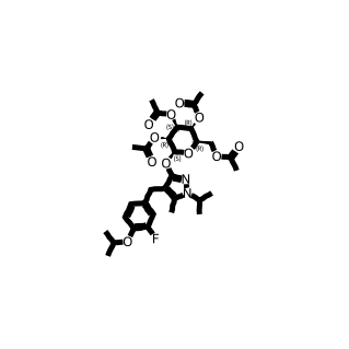 CC(=O)OC[C@H]1O[C@@H](Oc2nn(C(C)C)c(C)c2Cc2ccc(OC(C)C)c(F)c2)[C@H](OC(C)=O)[C@@H](OC(C)=O)[C@@H]1OC(C)=O